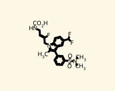 Cc1c(-c2cccc(S(=O)(=O)N(C)C)c2)c2cc(C(F)F)ccc2n1C/C(F)=C/CNC(=O)O